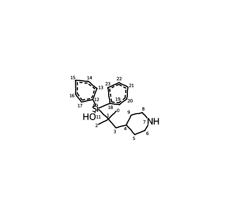 CC(C)(CC1CCNCC1)[Si](O)(c1ccccc1)c1ccccc1